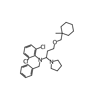 CC1(COCCC(N2CCCC2)N(Cc2ccccc2)c2c(Cl)cccc2Cl)CCCCC1